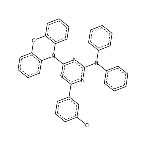 Clc1cccc(-c2nc(N(c3ccccc3)c3ccccc3)nc(N3c4ccccc4Oc4ccccc43)n2)c1